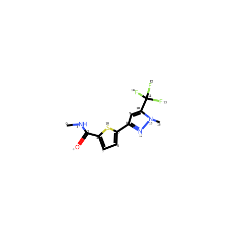 CNC(=O)c1ccc(-c2cc(C(F)(F)F)n(C)n2)s1